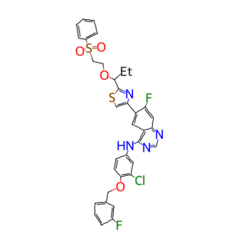 CCC(OCCS(=O)(=O)c1ccccc1)c1nc(-c2cc3c(Nc4ccc(OCc5cccc(F)c5)c(Cl)c4)ncnc3cc2F)cs1